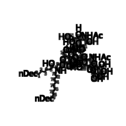 CCCCCCCCCCCCC/C=C/[C@H](O)[C@@H](CO[C@@H]1OC(CO)[C@@H](O[C@@H]2OC(CO)[C@H](O[C@@H]3OC(CO)[C@H](O)C(O[C@@H]4OC(CO)[C@H](O)C(O)[C@@H]4O)[C@@H]3NC(C)=O)C(O[C@]3(C(C)=O)C[C@@H](O)[C@@H](NC(C)=O)C([C@H](O)[C@H](O)CO)O3)[C@@H]2O)C(O)[C@@H]1O)NCCCCCCCCCCCCCCCCCC